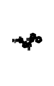 Cn1cc(-c2ccc3[nH]nc(-c4cc5c(N6CCCCC6)ccnc5[nH]4)c3n2)cn1